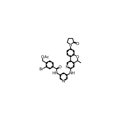 CC(=O)OCc1ccc(C(=O)Nc2cncc(Nc3cc4c(cn3)-c3ccc(N5CCCC5=O)cc3OC4C)c2)cc1Br